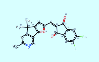 Cc1cc2c(cn1)-c1oc(C=C3C(=O)c4cc(F)c(F)cc4C3=O)cc1C2(C)C